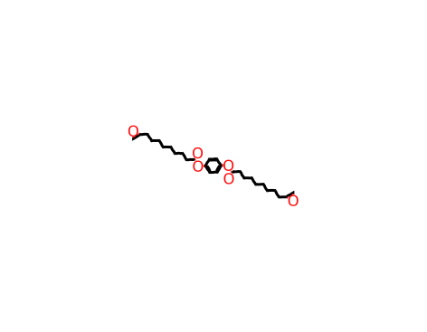 O=C(CCCCCCCCC1CO1)Oc1ccc(OC(=O)CCCCCCCCC2CO2)cc1